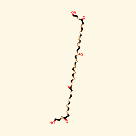 O=C(CSCSCSCSCC[S+]([O-])CSCSCSCSCSC(=O)CSCSCSCSCC(=O)SCCO)SCCO